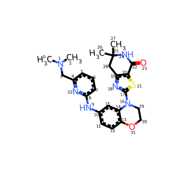 CN(C)Cc1cccc(Nc2ccc3c(c2)N(c2nc4c(s2)C(=O)NC(C)(C)C4)CCO3)n1